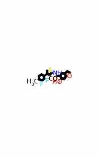 Cc1ccc(-c2csc(NC(=O)c3cc4ccoc4cc3O)c2C(=O)O)c(F)c1F